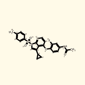 CC(=O)Nc1ccc(Oc2ccnc3c2c(C2CC2)cn3S(=O)(=O)c2ccc(C)cc2)c(F)c1